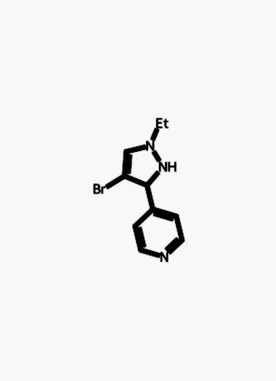 CCN1C=C(Br)C(c2ccncc2)N1